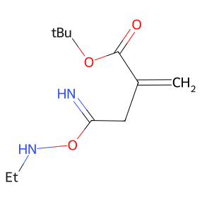 C=C(CC(=N)ONCC)C(=O)OC(C)(C)C